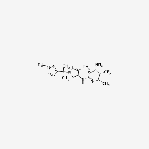 Cc1nn(C(C)(C)c2ccn(C)n2)cc1Nc1nc(C)c(C(F)(F)F)c(N)n1